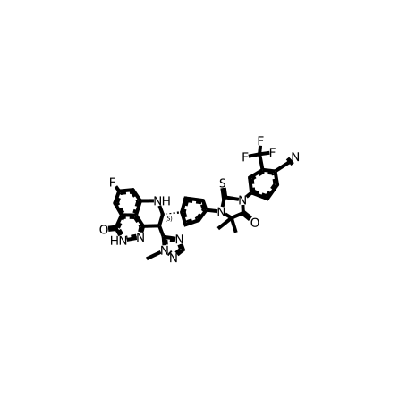 Cn1ncnc1C1c2n[nH]c(=O)c3cc(F)cc(c23)N[C@@H]1c1ccc(N2C(=S)N(c3ccc(C#N)c(C(F)(F)F)c3)C(=O)C2(C)C)cc1